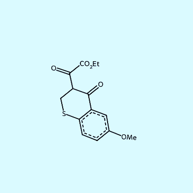 CCOC(=O)C(=O)C1CSc2ccc(OC)cc2C1=O